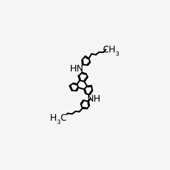 CCCCCc1ccc(Nc2ccc3c4ccc(Nc5ccc(CCCCC)cc5)cc4c4ccccc4c3c2)cc1